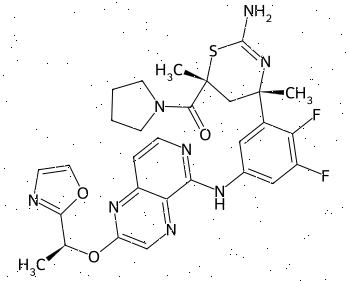 C[C@H](Oc1cnc2c(Nc3cc(F)c(F)c([C@]4(C)C[C@](C)(C(=O)N5CCCC5)SC(N)=N4)c3)nccc2n1)c1ncco1